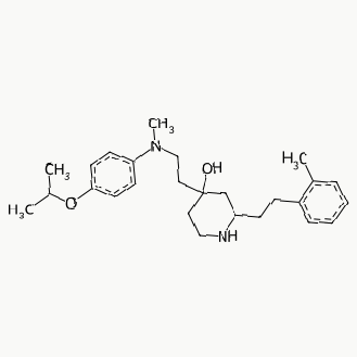 Cc1ccccc1CCC1CC(O)(CCN(C)c2ccc(OC(C)C)cc2)CCN1